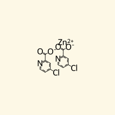 O=C([O-])c1cc(Cl)ccn1.O=C([O-])c1cc(Cl)ccn1.[Zn+2]